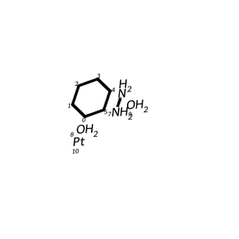 C1CCCCC1.NN.O.O.[Pt]